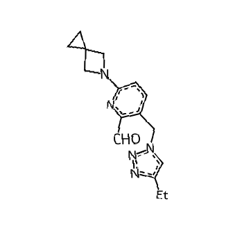 CCc1cn(Cc2ccc(N3CC4(CC4)C3)nc2C=O)nn1